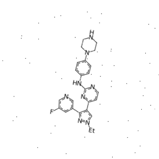 CCn1cc(-c2ccnc(Nc3ccc(N4CCNCC4)cc3)n2)c(-c2cncc(F)c2)n1